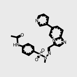 CC(=O)Nc1ccc(S(=O)(=O)N(C)/N=C/c2cnc3ccc(-c4cccnc4)cn23)cc1